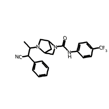 CC(C(C#N)c1ccccc1)N1CC2CC1CN2C(=O)Nc1ccc(C(F)(F)F)cc1